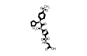 CN(C(=O)N(c1ccc(S(C)(=O)=O)cc1)C1CCCC1)c1ncc(S(=O)(=O)NCC(=O)O)s1